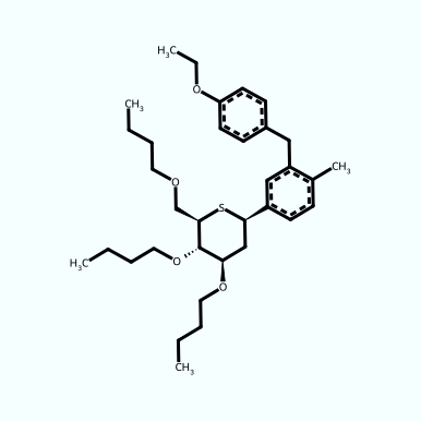 CCCCOC[C@H]1S[C@@H](c2ccc(C)c(Cc3ccc(OCC)cc3)c2)C[C@@H](OCCCC)[C@@H]1OCCCC